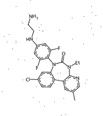 CCN1C(=O)N(c2c(F)cc(NCCN)cc2F)c2cc(Cl)ccc2-c2cc(C)cnc21